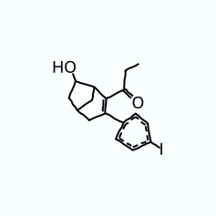 CCC(=O)C1=C(c2ccc(I)cc2)CC2CC(O)C1C2